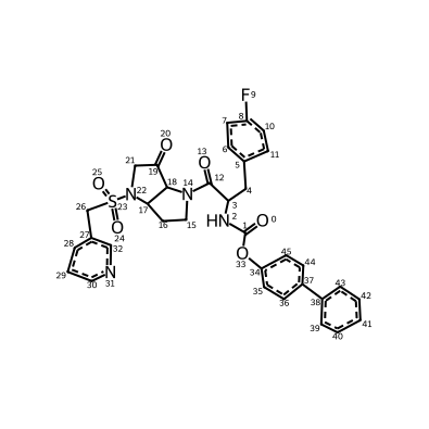 O=C(NC(Cc1ccc(F)cc1)C(=O)N1CCC2C1C(=O)CN2S(=O)(=O)Cc1cccnc1)Oc1ccc(-c2ccccc2)cc1